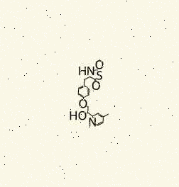 Cc1ccnc(C(O)COc2ccc(CC3NC(=O)SC3=O)cc2)c1